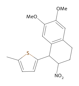 COc1cc2c(cc1OC)C(c1ccc(C)s1)C([N+](=O)[O-])CC2